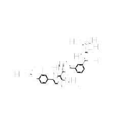 CC(C)Sc1ccc(-c2cnc(N)c(C(=N)OC(=N)c3cccc(C(C)NC(=O)OC(C)(C)C)c3)n2)cc1